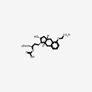 CCCCC[C@@H](CC[C@@H]1[C@H]2Cc3cccc(OCC(=O)O)c3C[C@H]2C[C@H]1O)OC(=O)CCC